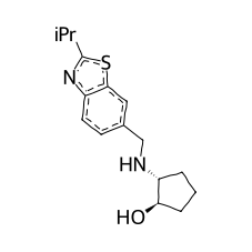 CC(C)c1nc2ccc(CN[C@@H]3CCC[C@H]3O)cc2s1